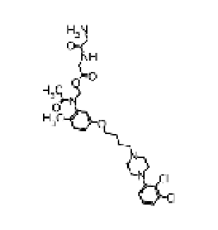 CC(=O)N(COC(=O)CNC(=O)CN)c1cc(OCCCCN2CCN(c3cccc(Cl)c3Cl)CC2)ccc1C